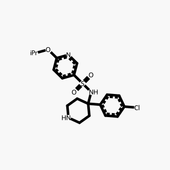 CC(C)Oc1ccc(S(=O)(=O)NC2(c3ccc(Cl)cc3)CCNCC2)cn1